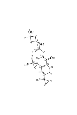 C[C@]1(O)C[C@@H](NC(=O)CN2CC3(CC3(F)F)c3cc(C4(F)CC4)ccc3C2=O)C1